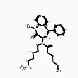 CCCCCC(=O)N(CCOCCOC)C1N=C(c2ccccc2)c2ccccc2N(C)C1=O